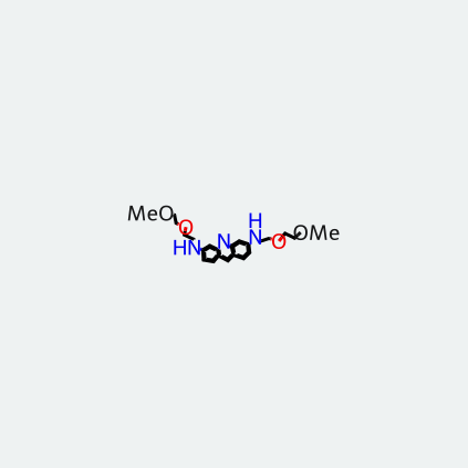 COCCOCCNc1ccc2cc3ccc(NCCOCCOC)cc3nc2c1